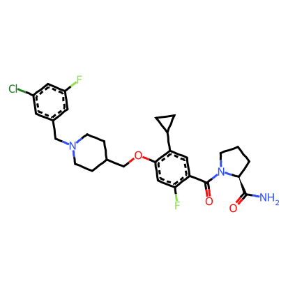 NC(=O)[C@@H]1CCCN1C(=O)c1cc(C2CC2)c(OCC2CCN(Cc3cc(F)cc(Cl)c3)CC2)cc1F